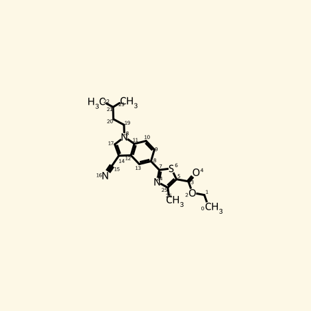 CCOC(=O)c1sc(-c2ccc3c(c2)c(C#N)cn3CCC(C)C)nc1C